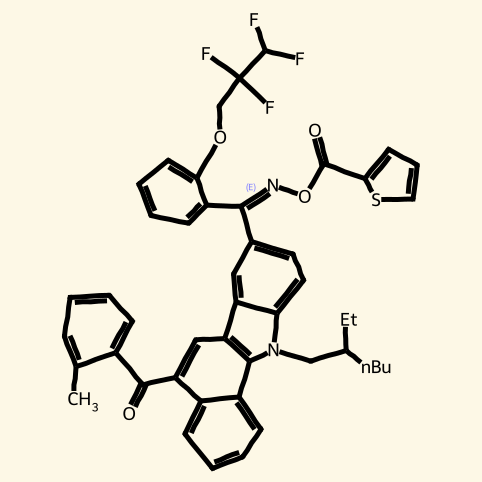 CCCCC(CC)Cn1c2ccc(/C(=N\OC(=O)c3cccs3)c3ccccc3OCC(F)(F)C(F)F)cc2c2cc(C(=O)c3ccccc3C)c3ccccc3c21